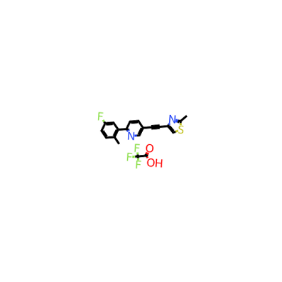 Cc1nc(C#Cc2ccc(-c3cc(F)ccc3C)nc2)cs1.O=C(O)C(F)(F)F